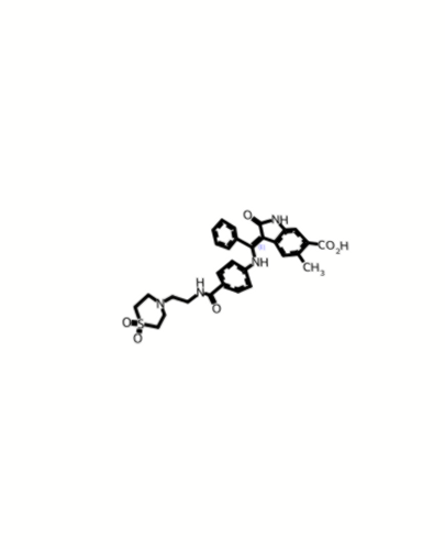 Cc1cc2c(cc1C(=O)O)NC(=O)/C2=C(/Nc1ccc(C(=O)NCCN2CCS(=O)(=O)CC2)cc1)c1ccccc1